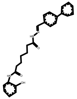 O=C(CCCCCC(=O)Nc1ccccc1O)N/N=C/c1ccc(-c2ccccc2)cc1